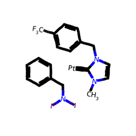 Cn1ccn(Cc2ccc(C(F)(F)F)cc2)[c]1=[Pt].IN(I)Cc1ccccc1